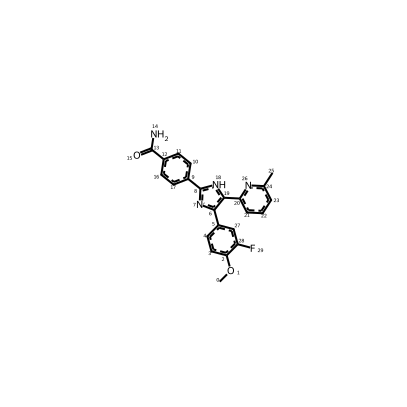 COc1ccc(-c2nc(-c3ccc(C(N)=O)cc3)[nH]c2-c2cccc(C)n2)cc1F